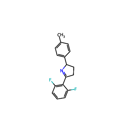 Cc1ccc(C2CCC(c3c(F)cccc3F)=N2)cc1